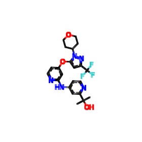 CC(C)(O)c1cc(Nc2cc(Oc3cc(C(F)(F)F)nn3C3CCOCC3)ccn2)ccn1